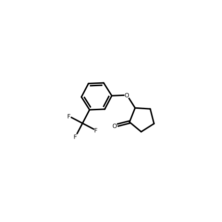 O=C1CCCC1Oc1cccc(C(F)(F)F)c1